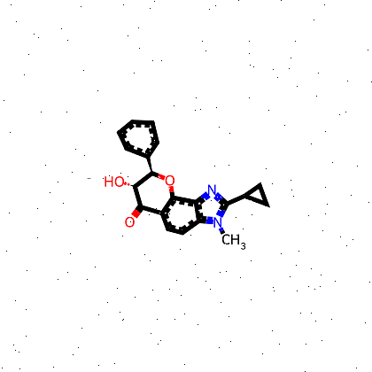 Cn1c(C2CC2)nc2c3c(ccc21)C(=O)[C@H](O)[C@@H](c1ccccc1)O3